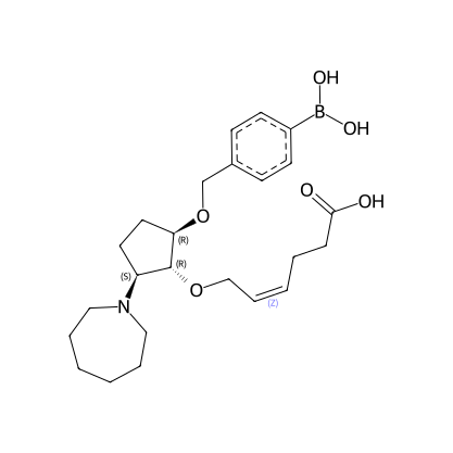 O=C(O)CC/C=C\CO[C@H]1[C@H](OCc2ccc(B(O)O)cc2)CC[C@@H]1N1CCCCCC1